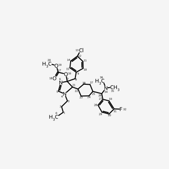 CCCCN1C=NC(Cc2ccc(Cl)cc2)(OC(=O)OC)C1C1CCC(C(c2cccc(F)c2)N(C)C)CC1